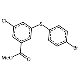 COC(=O)c1cc(Cl)cc(Sc2ccc(Br)cc2)c1